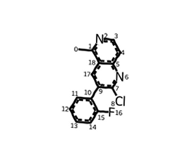 Cc1nccc2nc(Cl)c(-c3ccccc3F)cc12